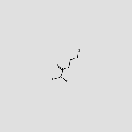 CCN(CC)C(=O)CCCCl